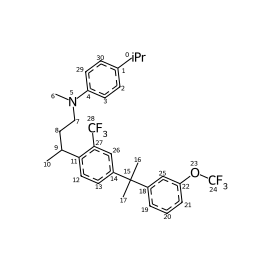 CC(C)c1ccc(N(C)CCC(C)c2ccc(C(C)(C)c3cccc(OC(F)(F)F)c3)cc2C(F)(F)F)cc1